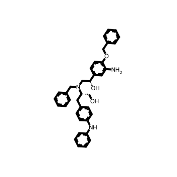 Nc1cc([C@H](O)CN(Cc2ccccc2)[C@H](CO)Cc2ccc(Nc3ccccc3)cc2)ccc1OCc1ccccc1